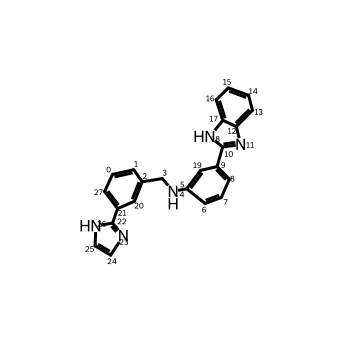 c1cc(CNc2cccc(-c3nc4ccccc4[nH]3)c2)cc(-c2ncc[nH]2)c1